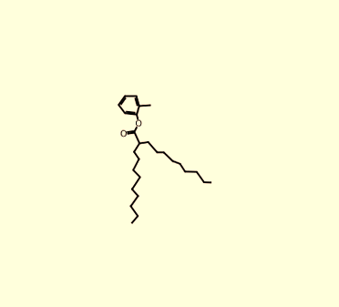 CCCCCCCCCC(CCCCCCCCC)C(=O)Oc1ccccc1C